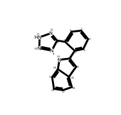 C1=C(c2ccccc2-c2nn[nH]n2)[N]c2ccccc21